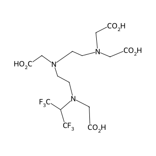 O=C(O)CN(CCN(CC(=O)O)CC(=O)O)CCN(CC(=O)O)C(C(F)(F)F)C(F)(F)F